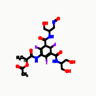 CC(=O)O[C@@H](C)C(=O)NC1=C(I)C(C(=O)NC(CO)CN=O)C(I)C(C(=O)NC(CO)CO)=C1I